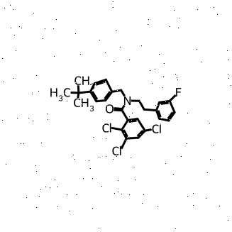 CC(C)(C)c1ccc(CN(CCc2cccc(F)c2)C(=O)c2cc(Cl)cc(Cl)c2Cl)cc1